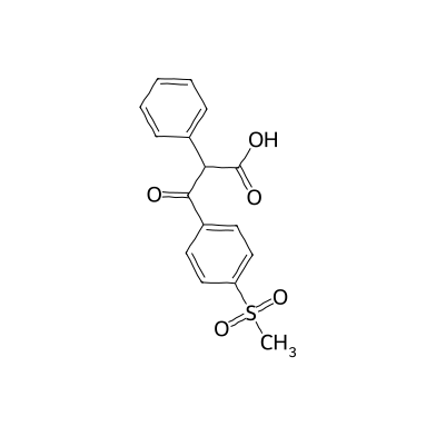 CS(=O)(=O)c1ccc(C(=O)C(C(=O)O)c2ccccc2)cc1